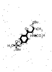 C[C@@H](OC(C)(C)C)[C@H](NC(=O)O)C(=O)c1ccc(O[Si](C)(C)C(C)(C)C)cc1